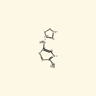 Brc1cnc(N[C@@H]2CCOC2)cn1